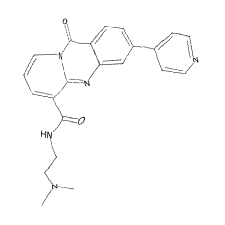 CN(C)CCNC(=O)c1cccn2c(=O)c3ccc(-c4ccncc4)cc3nc12